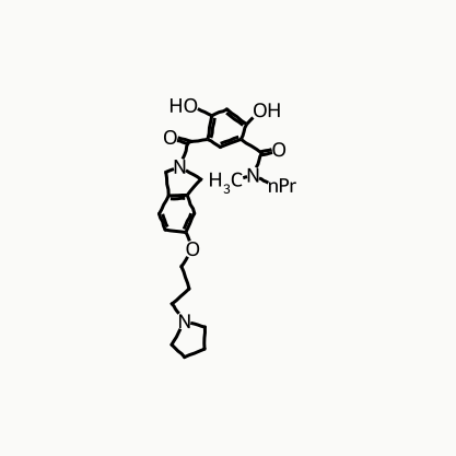 CCCN(C)C(=O)c1cc(C(=O)N2Cc3ccc(OCCCN4CCCC4)cc3C2)c(O)cc1O